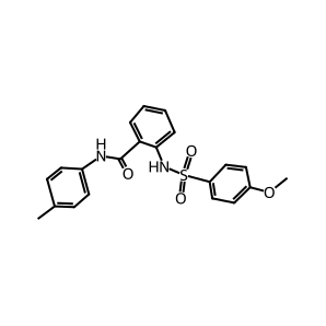 COc1ccc(S(=O)(=O)Nc2ccccc2C(=O)Nc2ccc(C)cc2)cc1